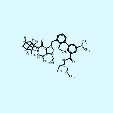 COC[C@H](CO)NC(=O)c1cc(-c2cccc(CN3O[C@@H](CO)[C@@H]([C@H](C)O)[C@H]3C(=O)N[C@H]3C[C@H]4C[C@@H]([C@@H]3C)C4(C)C)c2OC)cc(N(C)C)c1